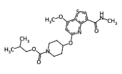 CNC(=O)c1csc2c(OC)cc(OC3CCN(C(=O)OCC(C)C)CC3)nc12